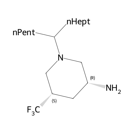 CCCCCCCC(CCCCC)N1C[C@H](N)C[C@H](C(F)(F)F)C1